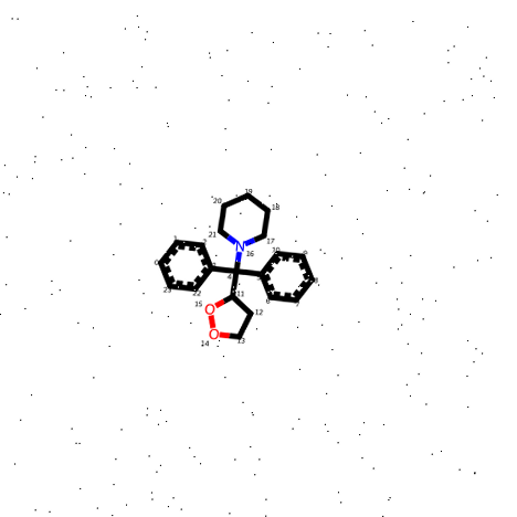 c1ccc(C(c2ccccc2)(C2CCOO2)N2CCCCC2)cc1